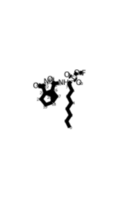 CCCCCCCCS(=O)(=O)OF.NC(=O)C1=CC2CCC1(C(N)=O)C2